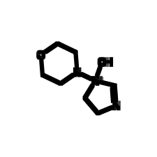 O[N+]1(N2CCOCC2)C=NCC1